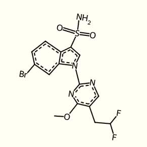 COc1nc(-n2cc(S(N)(=O)=O)c3ccc(Br)cc32)ncc1CC(F)F